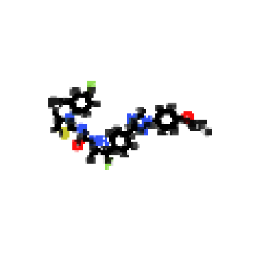 Cc1cs/c(=N\C(=O)NC(C)C(F)c2ccc(-c3ncn(-c4ccc(OC(F)(F)F)cc4)n3)cc2)n1-c1ccc(F)cc1C(C)C